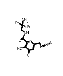 CCCC(N)(CC)CNC(=O)c1oc(CN=[N+]=[N-])cc(=O)c1O